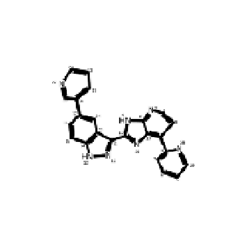 c1ccc(-c2ccnc3[nH]c(-c4n[nH]c5ccc(-c6cccnc6)cc45)nc23)nc1